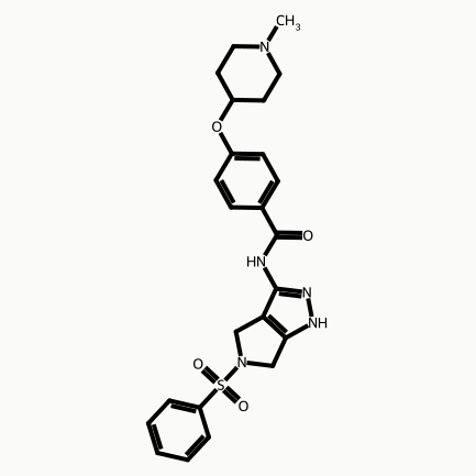 CN1CCC(Oc2ccc(C(=O)Nc3n[nH]c4c3CN(S(=O)(=O)c3ccccc3)C4)cc2)CC1